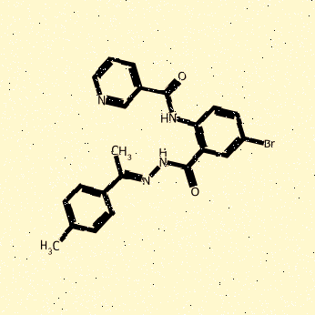 CC(=NNC(=O)c1cc(Br)ccc1NC(=O)c1cccnc1)c1ccc(C)cc1